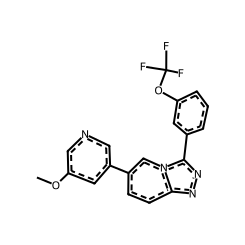 COc1cncc(-c2ccc3nnc(-c4cccc(OC(F)(F)F)c4)n3c2)c1